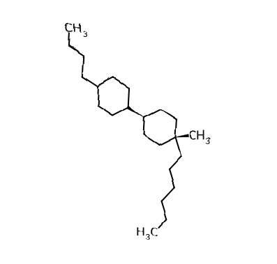 CCCCCC[C@]1(C)CC[C@@H](C2CCC(CCCC)CC2)CC1